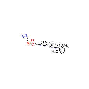 CC1=C(/C=C/C(C)=C/C=C/C(C)=C/COS(=O)(=O)CCN)C(C)(C)CCC1